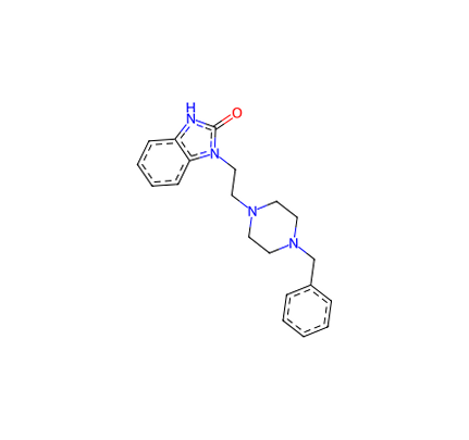 O=c1[nH]c2ccccc2n1CCN1CCN(Cc2ccccc2)CC1